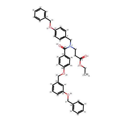 CCOC(=O)CCN(Cc1ccc(OCc2ccccc2)cc1)C(=O)c1ccc(OCc2cccc(OCc3ccccc3)c2)cc1